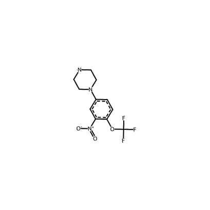 O=[N+]([O-])c1cc(N2CC[N]CC2)ccc1OC(F)(F)F